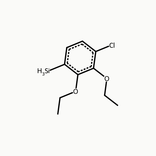 CCOc1c([SiH3])ccc(Cl)c1OCC